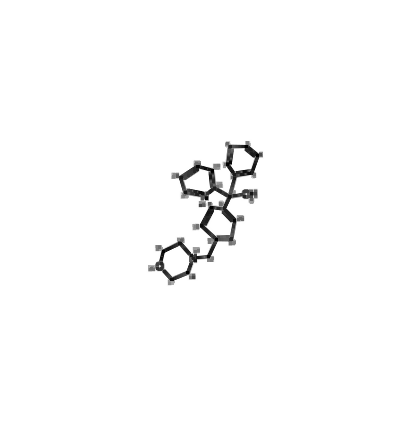 OC(c1ccccc1)(c1ccc(CN2CCOCC2)cc1)c1ccccn1